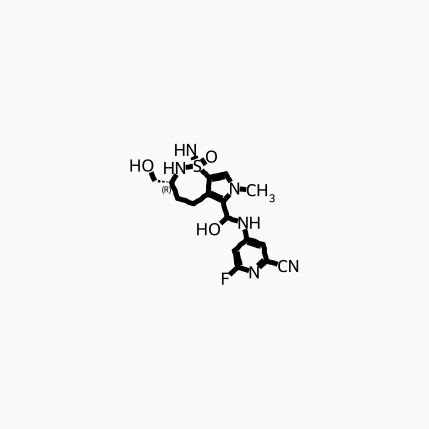 Cn1cc2c(c1C(O)Nc1cc(F)nc(C#N)c1)CC[C@H](CO)NS2(=N)=O